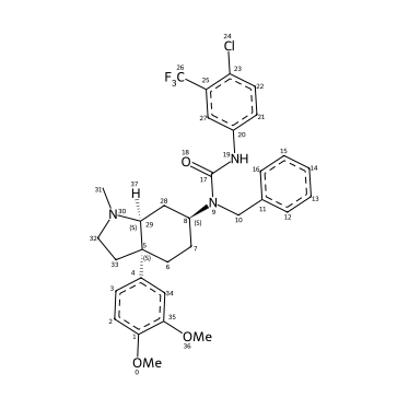 COc1ccc([C@@]23CC[C@H](N(Cc4ccccc4)C(=O)Nc4ccc(Cl)c(C(F)(F)F)c4)C[C@@H]2N(C)CC3)cc1OC